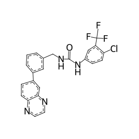 O=C(NCc1cccc(-c2ccc3nccnc3c2)c1)Nc1ccc(Cl)c(C(F)(F)F)c1